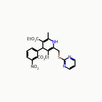 CCOC(=O)C1=C(C)NC(CSc2ncccn2)=C(C(=O)OCC)C1c1cccc([N+](=O)[O-])c1